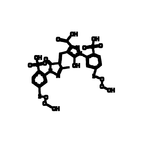 CC1=NN(c2cc(SOOO)ccc2S(=O)(=O)O)C(=O)C1=Cc1c(C(=O)O)nn(-c2cc(SOOO)ccc2S(=O)(=O)O)c1O